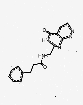 O=C(CCc1ccccc1)NCc1nc2nnccc2c(=O)[nH]1